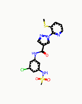 CSc1cccnc1-n1cc(C(=O)Nc2cc(Cl)cc(NS(C)(=O)=O)c2)cn1